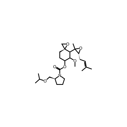 COC1C(OC(=O)N2CCC[C@H]2COC(C)C)CC[C@]2(CO2)C1C1(C)O[C@@H]1CC=C(C)C